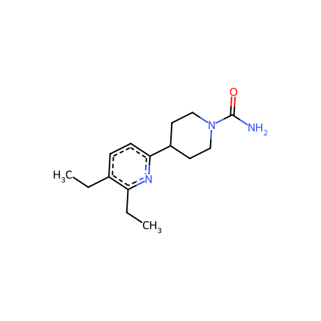 CCc1ccc(C2CCN(C(N)=O)CC2)nc1CC